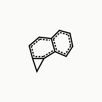 c1ccc2c3c(ccc2c1)C3